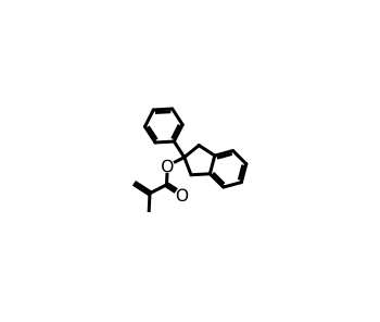 C=C(C)C(=O)OC1(c2ccccc2)Cc2ccccc2C1